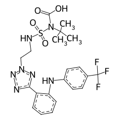 CC(C)(C)N(C(=O)O)S(=O)(=O)NCCn1nnc(-c2ccccc2Nc2ccc(C(F)(F)F)cc2)n1